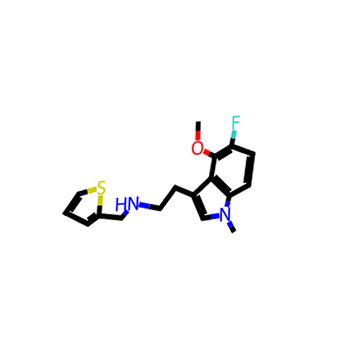 COc1c(F)ccc2c1c(CCNCc1cccs1)cn2C